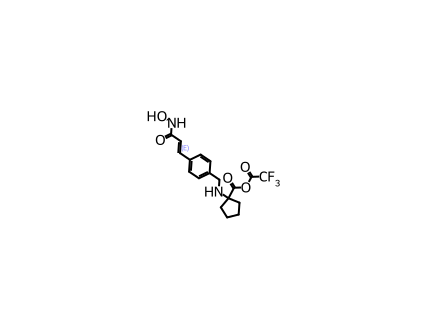 O=C(/C=C/c1ccc(CNC2(C(=O)OC(=O)C(F)(F)F)CCCC2)cc1)NO